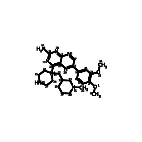 COc1ccc(-c2cnc3nc(N)nc([N+]4(CC5CCCN(C)C5)CCNCC4)c3n2)cc1OC